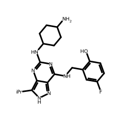 CC(C)c1[nH]nc2c(NCc3cc(F)ccc3O)nc(NC3CCC(N)CC3)nc12